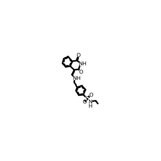 CCNS(=O)(=O)c1ccc(CN/C=C2\C(=O)NC(=O)c3ccccc32)cc1